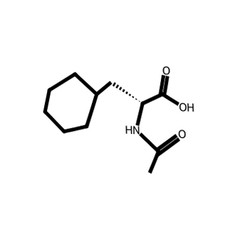 CC(=O)N[C@H](CC1CCCCC1)C(=O)O